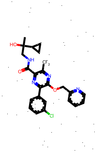 CC(O)(CNC(=O)c1nc(-c2cccc(Cl)c2)c(OCc2ccccn2)nc1C(F)(F)F)C1CC1